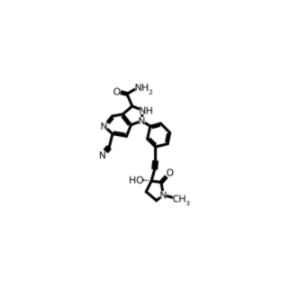 CN1CC[C@@](O)(C#Cc2cccc(N3NC(C(N)=O)c4cnc(C#N)cc43)c2)C1=O